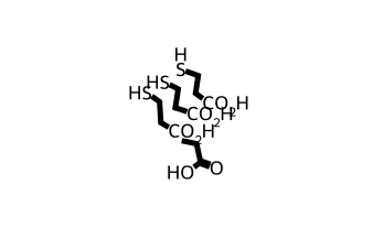 CCC(=O)O.O=C(O)CCS.O=C(O)CCS.O=C(O)CCS